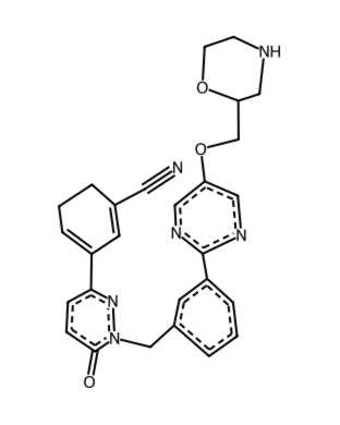 N#CC1=CC(c2ccc(=O)n(Cc3cccc(-c4ncc(OCC5CNCCO5)cn4)c3)n2)=CCC1